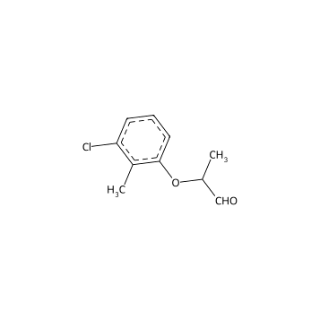 Cc1c(Cl)cccc1OC(C)C=O